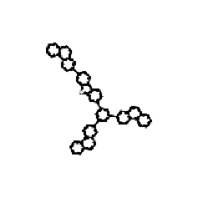 c1ccc2c(c1)ccc1cc(-c3cc(-c4ccc5c(ccc6ccccc65)c4)cc(-c4ccc5c(c4)oc4cc(-c6ccc7c(ccc8ccccc87)c6)ccc45)c3)ccc12